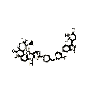 Cn1nc(C2CCC(=O)NC2=O)c2ccc([C@H]3CCN(CC4CCN(c5ncc(Cl)c(Nc6ccc7c(c6)c6c(c(=O)n7C)OCC(F)(F)[C@H](C7CC7)N6)n5)CC4)C[C@@H]3F)cc21